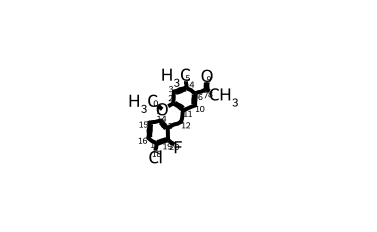 COc1cc(C)c(C(C)=O)cc1Cc1cccc(Cl)c1F